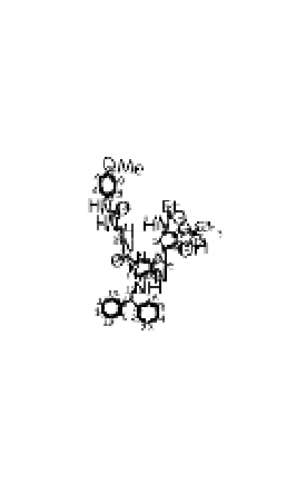 CCC(=O)N[C@H]1C[C@@H](n2cnc3c(NCC(c4ccccc4)c4ccccc4)nc(C(=O)NCCNC(=O)Nc4ccc(OC)cc4)nc32)[C@H](O)[C@@H]1OC(=O)C(F)(F)F